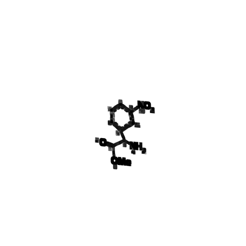 COC(=O)C(N)c1cccc([N+](=O)[O-])c1